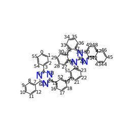 c1ccc(-c2nc(-c3ccccc3)nc(-c3cccc(-c4cccc(N5c6ccccc6-c6ccccc6-n6c5nc5c7ccccc7ccc56)c4)c3)n2)cc1